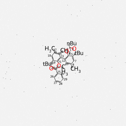 CCCCC(=O)Oc1c(C(C)(C)C)cc(C)c(C)c1-c1c(C)c(C)cc(C(C)(C)C)c1OC(=O)c1ccccc1